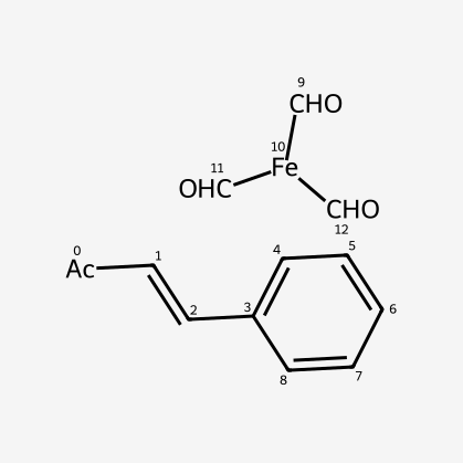 CC(=O)C=Cc1ccccc1.O=[CH][Fe]([CH]=O)[CH]=O